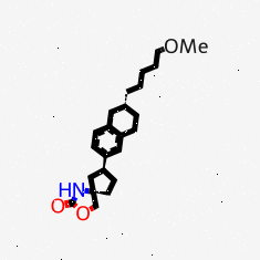 COCCCCC[C@@H]1CCc2cc([C@H]3CC[C@]4(COC(=O)N4)C3)ccc2C1